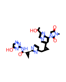 CC(O)c1cn2cc(C3CC3Cc3ccnc([C@H]4C[C@@H]4C(=O)Nc4nncc(O)n4)n3)cc(N3CC(=O)N(C)C3=O)c2n1